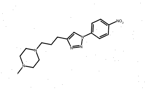 CN1CCN(CCCc2cn(-c3ccc([N+](=O)[O-])cc3)nn2)CC1